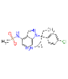 CCC(c1ccc(Cl)cc1)(C1CC1N)n1ncc2c(NS(C)(=O)=O)cccc21